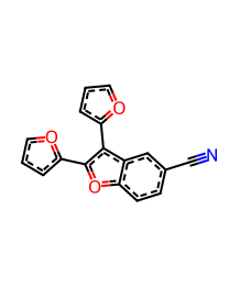 N#Cc1ccc2oc(-c3ccco3)c(-c3ccco3)c2c1